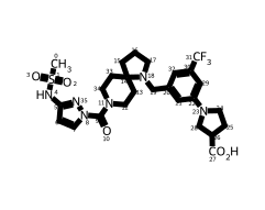 CS(=O)(=O)Nc1ccn(C(=O)N2CCC3(CCCN3Cc3cc(N4CCC(C(=O)O)C4)cc(C(F)(F)F)c3)CC2)n1